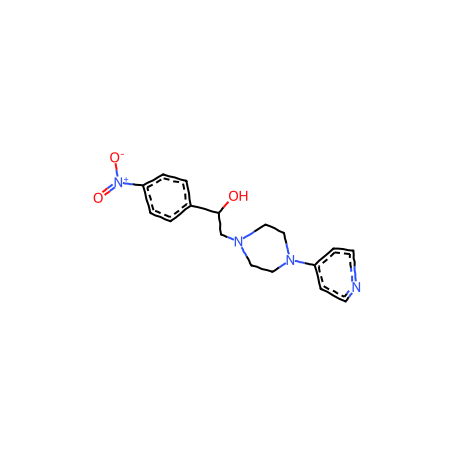 O=[N+]([O-])c1ccc(C(O)CN2CCN(c3ccncc3)CC2)cc1